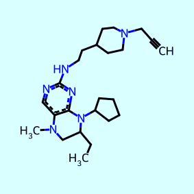 C#CCN1CCC(CCNc2ncc3c(n2)N(C2CCCC2)C(CC)CN3C)CC1